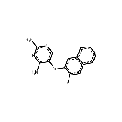 Cc1cc2ccccc2cc1Oc1cnc(N)nc1N